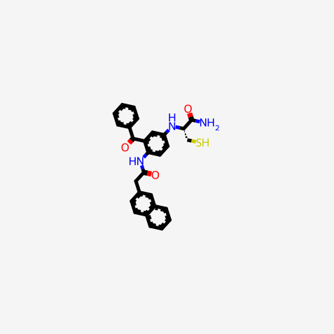 NC(=O)[C@H](CS)Nc1ccc(NC(=O)Cc2ccc3ccccc3c2)c(C(=O)c2ccccc2)c1